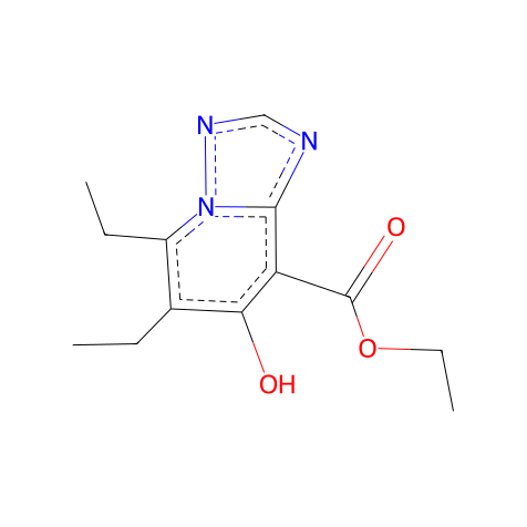 CCOC(=O)c1c(O)c(CC)c(CC)n2ncnc12